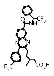 CC(CCc1nc2cc(C(=O)N[C@@H](c3ccccc3)C(F)(F)F)ccc2nc1-c1ccc(C(F)(F)F)cc1)CC(=O)O